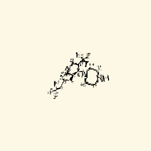 FC(F)(F)Cc1cc2c(N3CCNCC3)c(C(F)(F)F)cnc2s1